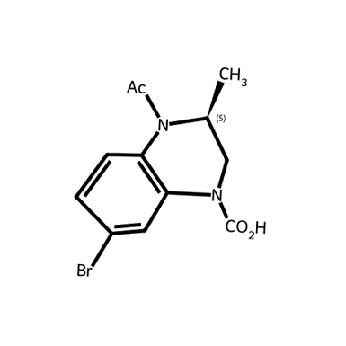 CC(=O)N1c2ccc(Br)cc2N(C(=O)O)C[C@@H]1C